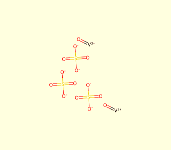 O=S(=O)([O-])[O-].O=S(=O)([O-])[O-].O=S(=O)([O-])[O-].[O]=[V+3].[O]=[V+3]